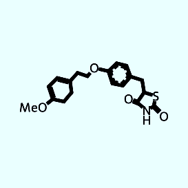 COC1=CC=C(CCOc2ccc(CC3SC(=O)NC3=O)cc2)CC1